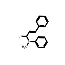 CC(C=Cc1ccccc1)N(C)c1ccccc1